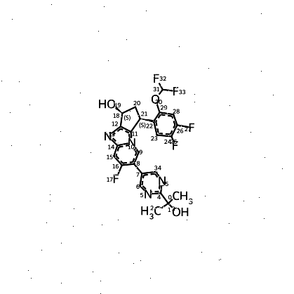 CC(C)(O)c1ncc(-c2cn3c4c(nc3cc2F)[C@@H](O)C[C@H]4c2cc(F)c(F)cc2OC(F)F)cn1